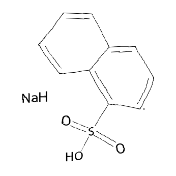 O=S(=O)(O)c1[c]ccc2ccccc12.[NaH]